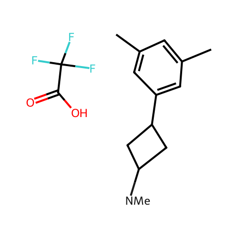 CNC1CC(c2cc(C)cc(C)c2)C1.O=C(O)C(F)(F)F